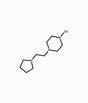 SN1CCN(CCN2CCCC2)CC1